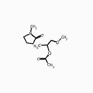 CN1CCCC1=O.COCC(C)OC(C)=O